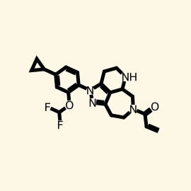 C=CC(=O)N1CCc2nn(-c3ccc(C4CC4)cc3OC(F)F)c3c2C(C1)NCC3